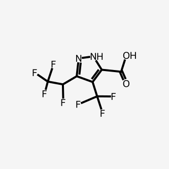 O=C(O)c1[nH]nc(C(F)C(F)(F)F)c1C(F)(F)F